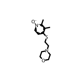 Cc1c(SCCN2CCOCC2)cc[n+]([O-])c1C